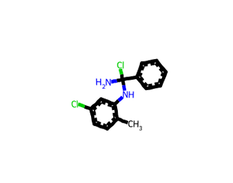 Cc1ccc(Cl)cc1NC(N)(Cl)c1ccccc1